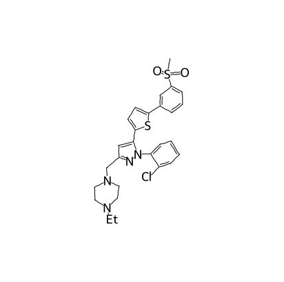 CCN1CCN(Cc2cc(-c3ccc(-c4cccc(S(C)(=O)=O)c4)s3)n(-c3ccccc3Cl)n2)CC1